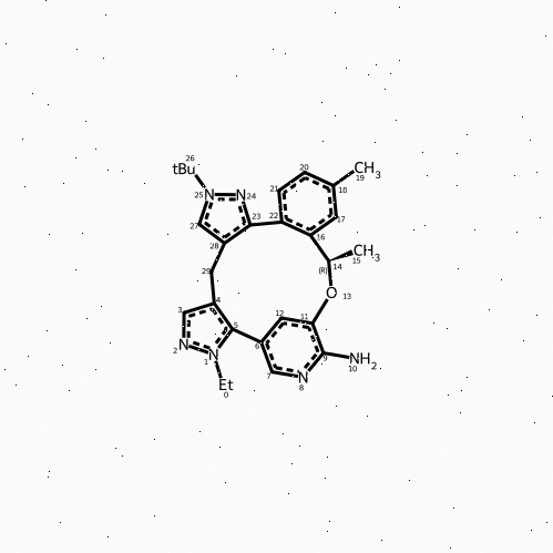 CCn1ncc2c1-c1cnc(N)c(c1)O[C@H](C)c1cc(C)ccc1-c1nn(C(C)(C)C)cc1C2